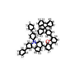 c1ccc(-c2ccc(N(c3ccc(-c4ccccc4)cc3)c3ccc(-c4cccc5c4oc4c(-c6ccc(C7(c8ccccc8)c8ccccc8-c8ccccc87)cc6)cccc45)c4ccccc34)cc2)cc1